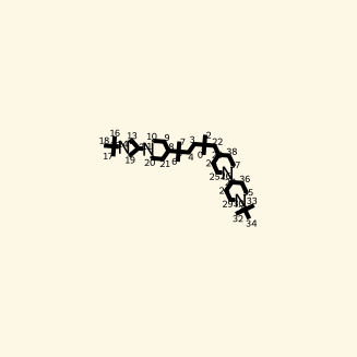 CC(C)(CCC(C)(C)C1CCN(C2CN(C(C)(C)C)C2)CC1)CC1CCN(C2CCN(C(C)(C)C)CC2)CC1